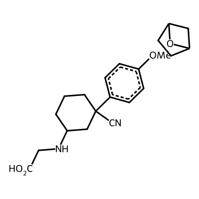 C1CC2CC1O2.COc1ccc(C2(C#N)CCCC(NCC(=O)O)C2)cc1